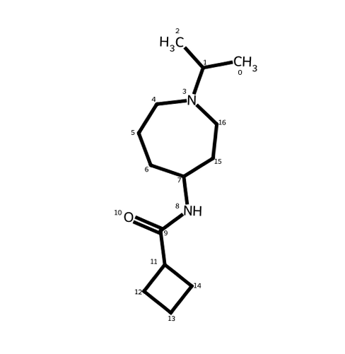 CC(C)N1CCCC(NC(=O)C2CCC2)CC1